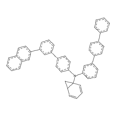 C1=CC2CC2(N(c2ccc(-c3cccc(-c4ccc5ccccc5c4)c3)cc2)c2cccc(-c3ccc(-c4ccccc4)cc3)c2)C=C1